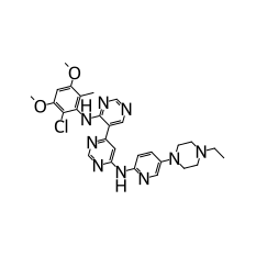 CCN1CCN(c2ccc(Nc3cc(-c4cncnc4Nc4c(C)c(OC)cc(OC)c4Cl)ncn3)nc2)CC1